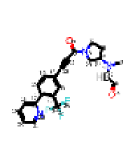 CN(BC=O)[C@@H]1CCN(C(=O)C#Cc2ccc(-c3ccccn3)c(C(F)(F)F)c2)C1